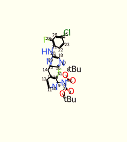 CC(C)(C)OC(=O)N(C(=O)OC(C)(C)C)c1nccc(Cc2cncc(Nc3ccc(Cl)cc3F)n2)c1F